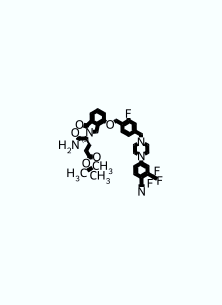 CC(C)(C)OC(=O)CC[C@@H](C(N)=O)N1Cc2c(OCc3ccc(CN4CCN(c5ccc(C#N)c(C(F)(F)F)c5)CC4)cc3F)cccc2C1=O